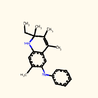 CCC1(C)Nc2cc(C)c(Nc3ccccc3)cc2C(C)=C1C